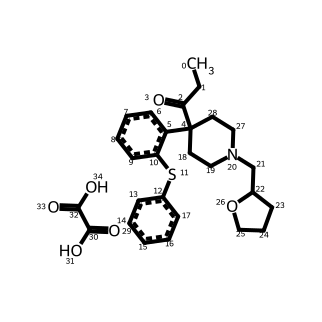 CCC(=O)C1(c2ccccc2Sc2ccccc2)CCN(CC2CCCO2)CC1.O=C(O)C(=O)O